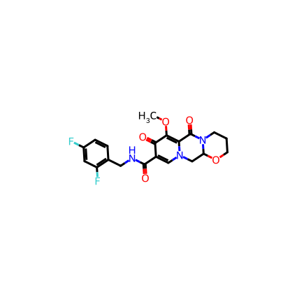 COc1c2n(cc(C(=O)NCc3ccc(F)cc3F)c1=O)CC1OCCCN1C2=O